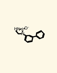 [O-][S+]1NCCN1c1cccc(-c2ccccc2)c1